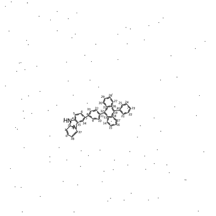 C1=CC2Nc3ccc(-c4ccc(-c5c6ccccc6c(-c6ccccc6)c6ccccc56)cc4)cc3N2C=C1